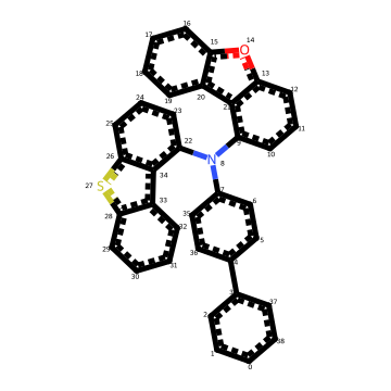 c1ccc(-c2ccc(N(c3cccc4oc5ccccc5c34)c3cccc4sc5ccccc5c34)cc2)cc1